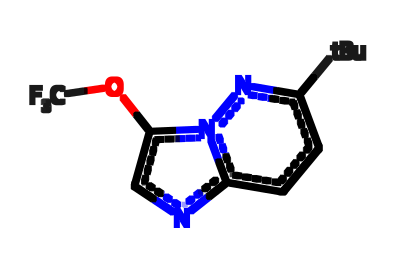 CC(C)(C)c1ccc2ncc(OC(F)(F)F)n2n1